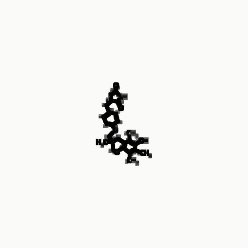 Cc1c(C)c2c(c(C)c1O)CC(C)(COc1ccc(CC3SC(=O)NC3=O)cc1)CO2